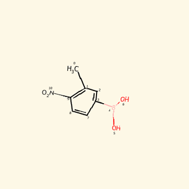 Cc1cc(B(O)O)ccc1[N+](=O)[O-]